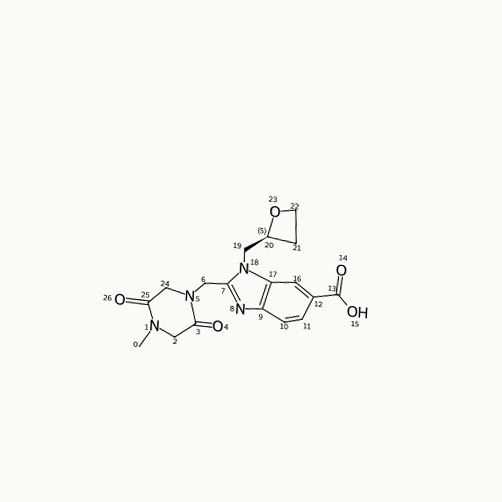 CN1CC(=O)N(Cc2nc3ccc(C(=O)O)cc3n2C[C@@H]2CCO2)CC1=O